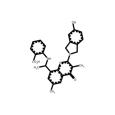 Cc1cc(C(C)Nc2ccccc2C(=O)O)c2oc(N3Cc4ccc(C#N)cc4C3)c(C)c(=O)c2c1